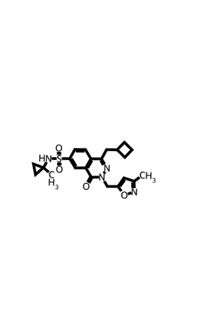 Cc1cc(Cn2nc(CC3CCC3)c3ccc(S(=O)(=O)NC4(C)CC4)cc3c2=O)on1